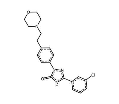 O=c1[nH]c(-c2cccc(Cl)c2)nn1-c1ccc(CCN2CCOCC2)cc1